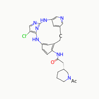 CC(=O)N1CCC[C@H](CC(=O)Nc2ccc3cc2CCc2cncc(c2)Nc2ncc(Cl)c(n2)N3)C1